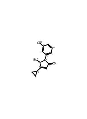 CCn1c(C2CC2)cc(=O)n1-c1cccc(Cl)c1